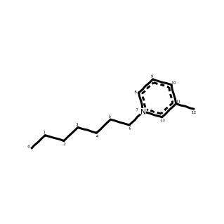 CCCCCCC[n+]1cccc(C)c1